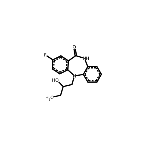 CCC(O)CN1c2ccccc2NC(=O)c2cc(F)ccc21